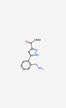 COC(=O)c1cc(-c2ccccc2CN)[nH]n1